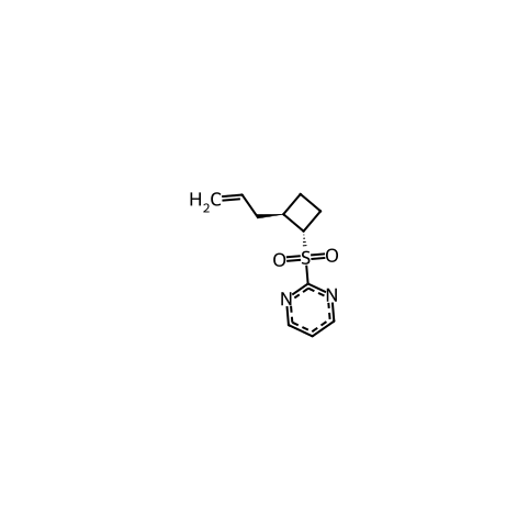 C=CC[C@H]1CC[C@@H]1S(=O)(=O)c1ncccn1